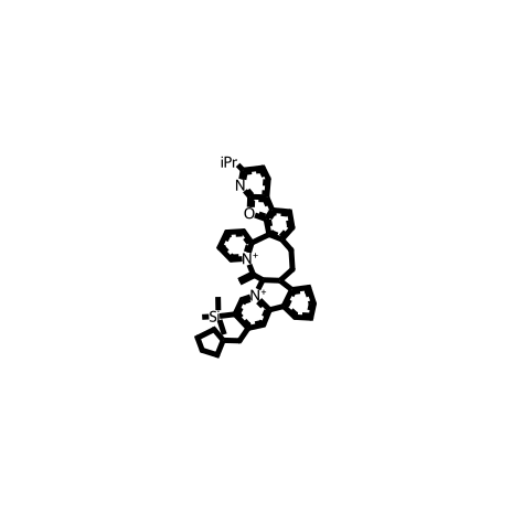 C=C1C2C(CCc3ccc4c(oc5nc(C(C)C)ccc54)c3-c3cccc[n+]31)c1ccccc1-c1cc(CC3CCCC3)c([Si](C)(C)C)c[n+]12